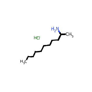 CCCCCCCCCC(C)N.Cl